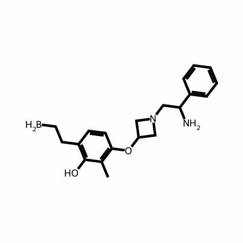 BCCc1ccc(OC2CN(CC(N)c3ccccc3)C2)c(C)c1O